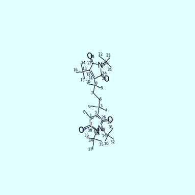 Cc1c(C(C)(C)CCC(C)(C)C2=C(C(C)(C)C)C(=O)N(C(C)(C)C)C2=O)c(=O)n(C(C)(C)C)n(C(C)(C)C)c1=O